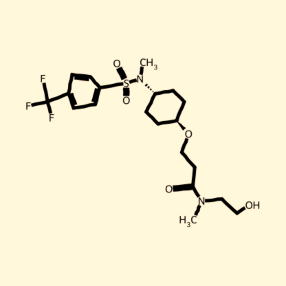 CN(CCO)C(=O)CCO[C@H]1CC[C@H](N(C)S(=O)(=O)c2ccc(C(F)(F)F)cc2)CC1